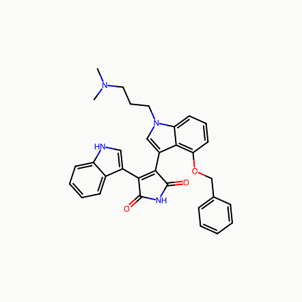 CN(C)CCCn1cc(C2=C(c3c[nH]c4ccccc34)C(=O)NC2=O)c2c(OCc3ccccc3)cccc21